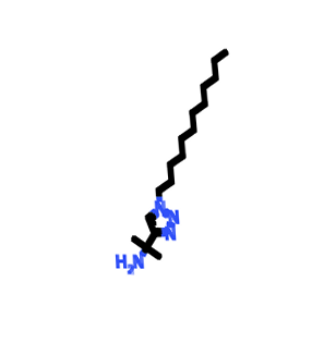 CCCCCCCCCCCCn1cc(C(C)(C)N)nn1